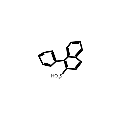 O=S(=O)(O)c1ccc2ccccc2c1-c1ccccc1